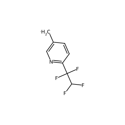 [CH2]c1ccc(C(F)(F)C(F)F)nc1